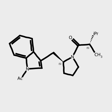 CC(=O)n1cc(C[C@@H]2CCCN2C(=O)[C@@H](C)C(C)C)c2ccccc21